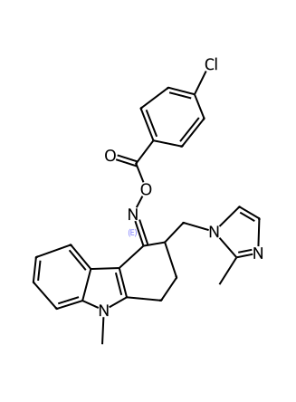 Cc1nccn1CC1CCc2c(c3ccccc3n2C)/C1=N/OC(=O)c1ccc(Cl)cc1